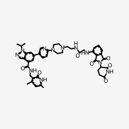 Cc1cc(C)c(CNC(=O)c2cc(-c3ccc(N4CCN(CCNC(=O)CNc5cccc6c5C(=O)N(C5CCC(=O)NC5=O)C6=O)CC4)nc3)cc3c2cnn3C(C)C)c(=O)[nH]1